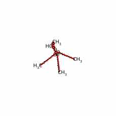 CCCCCCCCCCCCCCCCCCOC1CC(COc2ccc(C(O)c3ccc(C)cc3)cc2)CC(OCCCCCCCCCCCCCCCCCC)C1OCCCCCCCCCCCCCCCCCC